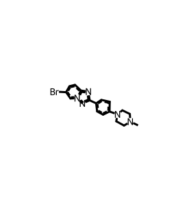 CN1CCN(c2ccc(-c3nc4ccc(Br)cn4n3)cc2)CC1